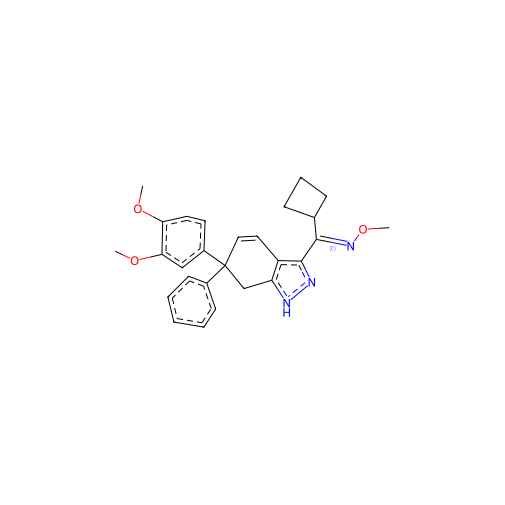 CO/N=C(/c1n[nH]c2c1C=CC(c1ccccc1)(c1ccc(OC)c(OC)c1)C2)C1CCC1